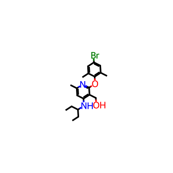 CCC(CC)Nc1cc(C)nc(Oc2c(C)cc(Br)cc2C)c1CO